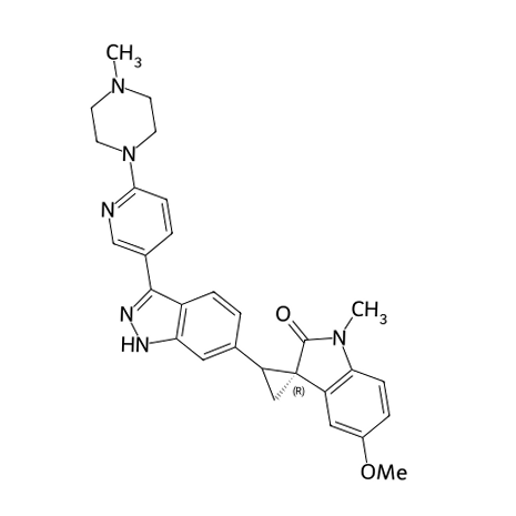 COc1ccc2c(c1)[C@]1(CC1c1ccc3c(-c4ccc(N5CCN(C)CC5)nc4)n[nH]c3c1)C(=O)N2C